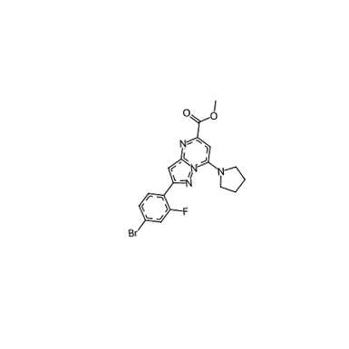 COC(=O)c1cc(N2CCCC2)n2nc(-c3ccc(Br)cc3F)cc2n1